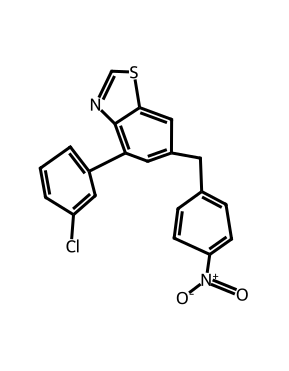 O=[N+]([O-])c1ccc(Cc2cc(-c3cccc(Cl)c3)c3ncsc3c2)cc1